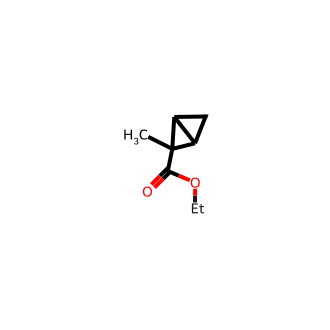 CCOC(=O)C1(C)C2CC21